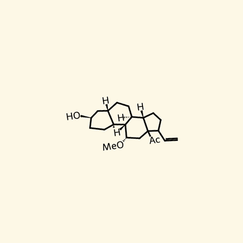 C=CC1CC[C@H]2[C@@H]3CC[C@H]4C[C@H](O)CC[C@]4(C)[C@H]3[C@@H](OC)CC12C(C)=O